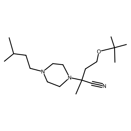 CC(C)CCN1CCN(C(C)(C#N)CCOC(C)(C)C)CC1